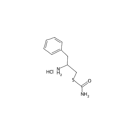 Cl.NC(=O)SCC(N)Cc1ccccc1